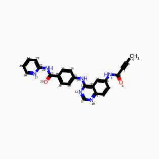 CC#CC(=O)Nc1ccc2ncnc(Nc3ccc(C(=O)Nc4ccccn4)cc3)c2c1